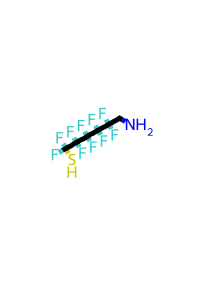 NCC(F)(F)C(F)(F)C(F)(F)C(F)(F)C(F)(F)S